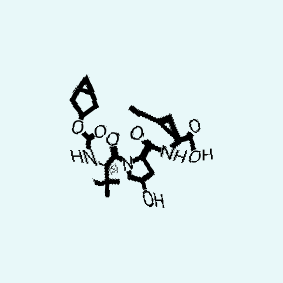 CCC1CC1(NC(=O)C1CC(O)CN1C(=O)[C@@H](NC(=O)OC1CC2CC2C1)C(C)(C)C)C(=O)O